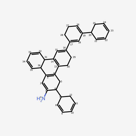 NC1=CC2=C(CC1C1C=CC=CC1)C1=C(C=C(C3=CC(C4C=CC=CC4)=CCC3)CC1)C1C=CC=CC21